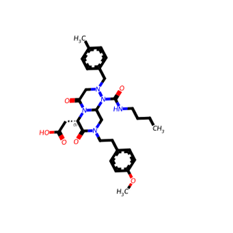 CCCCNC(=O)N1C2CN(CCc3ccc(OC)cc3)C(=O)[C@H](CC(=O)O)N2C(=O)CN1Cc1ccc(C)cc1